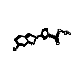 CC(C)(C)OC(=O)n1ccc(-n2cc3ccc(Br)cc3n2)c1